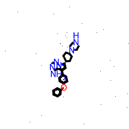 Nc1ncnn2c1c(-c1ccc(Oc3ccccc3)cc1)cc2[C@H]1CC[C@@H](N2CCNCC2)CC1